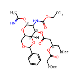 CCCCCCCCCCCC(=O)O[C@H](CCCCCCCCCCC)CC(=O)O[C@@H]1C(NC(=O)OCC(Cl)(Cl)Cl)[C@@H](OC(C)=N)OC2COC(c3ccccc3)O[C@H]21